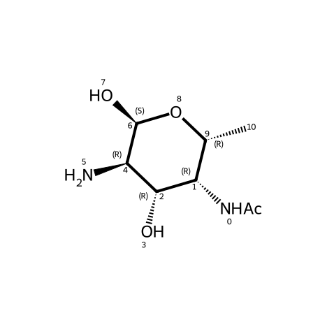 CC(=O)N[C@@H]1[C@H](O)[C@@H](N)[C@@H](O)O[C@@H]1C